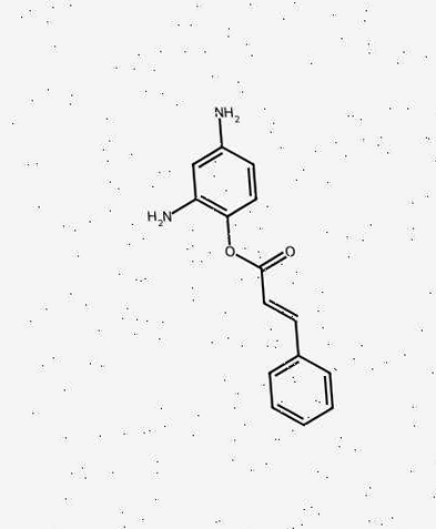 Nc1ccc(OC(=O)/C=C/c2ccccc2)c(N)c1